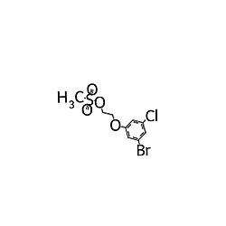 CS(=O)(=O)OCCOc1cc(Cl)cc(Br)c1